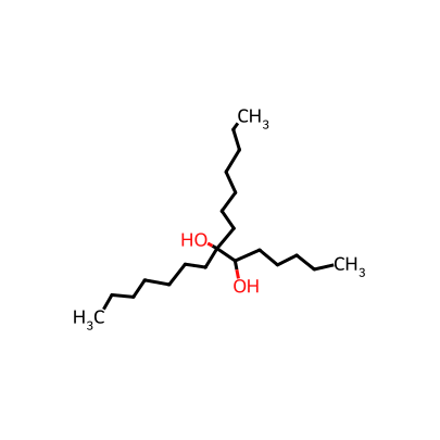 CCCCCCCC(O)(CCCCCCC)C(O)CCCCC